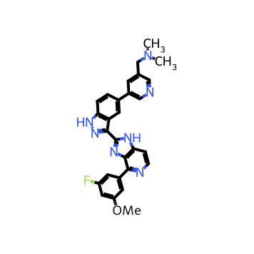 COc1cc(F)cc(-c2nccc3[nH]c(-c4n[nH]c5ccc(-c6cncc(CN(C)C)c6)cc45)nc23)c1